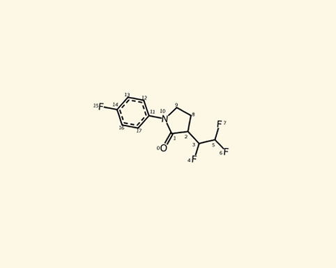 O=C1C(C(F)C(F)F)CCN1c1ccc(F)cc1